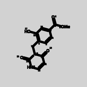 COC(=O)c1ccc(Cn2c(=O)cc[nH]c2=O)c(O)c1